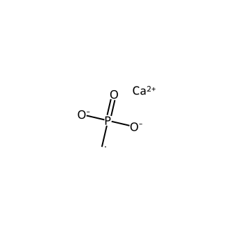 [CH2]P(=O)([O-])[O-].[Ca+2]